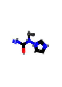 NC(=O)N(C=O)n1ccnc1